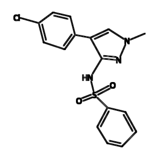 Cn1cc(-c2ccc(Cl)cc2)c(NS(=O)(=O)c2ccccc2)n1